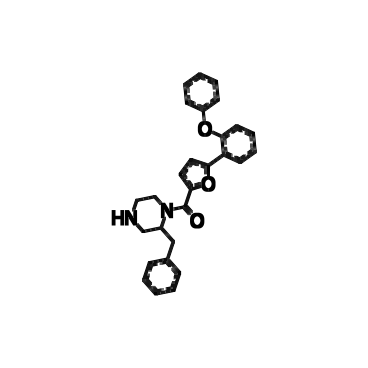 O=C(c1ccc(-c2ccccc2Oc2ccccc2)o1)N1CCNCC1Cc1ccccc1